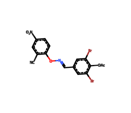 CC(=O)Oc1c(Br)cc(C=NOc2ccc([N+](=O)[O-])cc2C#N)cc1Br